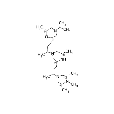 CC(C)N1C[C@H](CCC(C)N2C[C@H](CCC(C)N3C[C@@H](C)N(C)[C@@H](C)C3)N[C@H](C)C2)O[C@H](C)C1